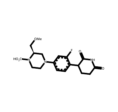 COC[C@H]1CN(c2ccc(C3CCC(=O)NC3=O)c(F)c2)CCN1C(=O)O